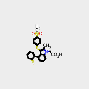 Cc1c(Sc2ccc(S(C)(=O)=O)cc2)c2c(C3=CC=CCC3=S)cccc2n1CC(=O)O